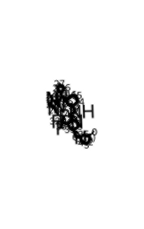 C[C@H]1CCCN(Cc2cnc(CNc3cccc(N(c4nncn4C)C4CCC4)c3)c(C(F)(F)F)c2)C1